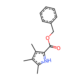 Cc1[nH]c(C(=O)OCc2ccccc2)c(C)c1C